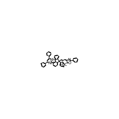 C=c1oc(-c2ccccc2)n/c1=C/C=C/C1(c2ccccc2)c2ccccc2-c2c(C3NC(c4ccccc4)=CC(c4ccccc4)N3)cccc21